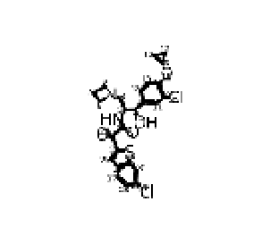 O=C(NC(CN1CCC1)C(O)c1ccc(OC2CC2)c(Cl)c1)C(=O)c1cc2ccc(Cl)cc2s1